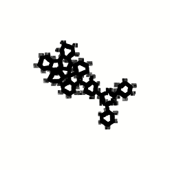 Cc1cc(-c2nc(-c3ccccc3)nc(-c3ccccc3)n2)ccc1N1c2ccccc2C(c2ccccc2)(c2cc3ccccc3c3c2oc2ccccc23)c2ccccc21